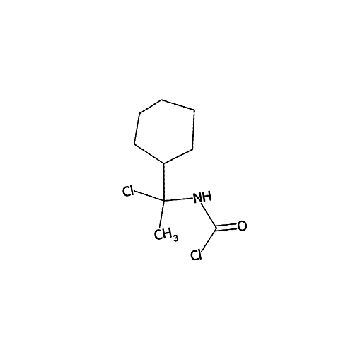 CC(Cl)(NC(=O)Cl)C1CCCCC1